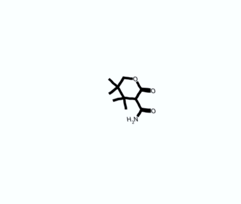 CC1(C)COC(=O)C(C(N)=O)C1(C)C